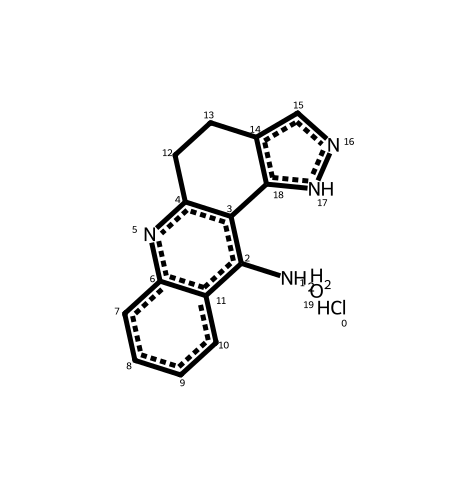 Cl.Nc1c2c(nc3ccccc13)CCc1cn[nH]c1-2.O